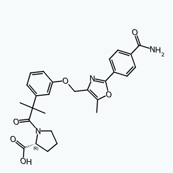 Cc1oc(-c2ccc(C(N)=O)cc2)nc1COc1cccc(C(C)(C)C(=O)N2CCC[C@@H]2C(=O)O)c1